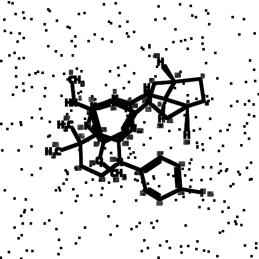 CNc1nc(N[C@@H]2[C@@H]3CC[C@H]2CN(c2cnnc(OC)c2)C3)nc2c1C(C)(C)CCN2c1ccc(F)cc1